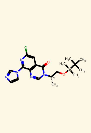 C[C@@H](CO[Si](C)(C)C(C)(C)C)n1cnc2c(-n3ccnc3)nc(Cl)cc2c1=O